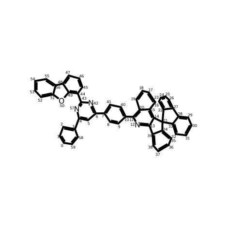 c1ccc(-c2cc(-c3ccc(-c4nc5c(c6ccccc46)C4(c6ccccc6-c6ccccc64)c4ccccc4-5)cc3)nc(-c3cccc4c3oc3ccccc34)n2)cc1